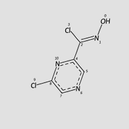 O/N=C(\Cl)c1cncc(Cl)n1